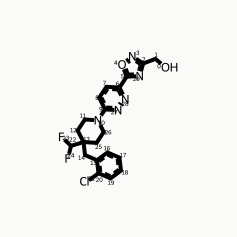 OCc1noc(-c2ccc(N3CCC(Cc4ccccc4Cl)(C(F)F)CC3)nn2)n1